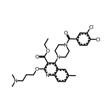 CCOC(=O)c1c(OCCCN(C)C)nc2ccc(C)cc2c1N1CCN(C(=O)c2ccc(Cl)c(Cl)c2)CC1